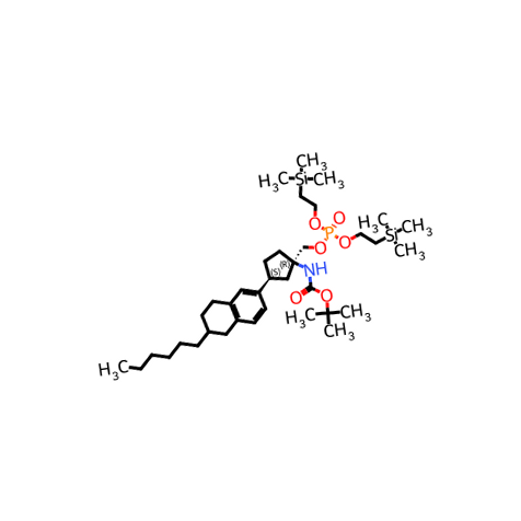 CCCCCCC1CCc2cc([C@H]3CC[C@@](COP(=O)(OCC[Si](C)(C)C)OCC[Si](C)(C)C)(NC(=O)OC(C)(C)C)C3)ccc2C1